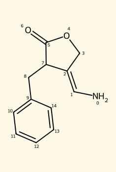 NC=C1COC(=O)C1Cc1ccccc1